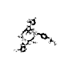 CO[C@@H]1COP(=O)(SCc2ccc(OC(=O)OC(C)C)cc2)O[C@@H]2[C@H](F)[C@@H](COP(=O)(O)O[C@H]1[C@@H](F)n1cnc3c(N)ncnc31)O[C@H]2n1ccc(=O)[nH]c1=O